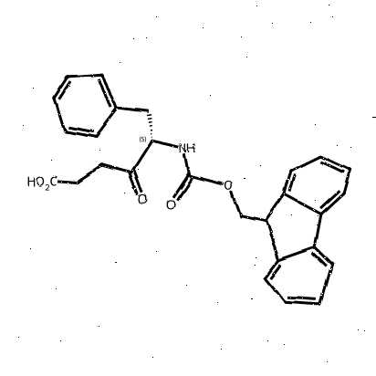 O=C(O)CCC(=O)[C@H](Cc1ccccc1)NC(=O)OCC1c2ccccc2-c2ccccc21